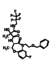 C[C@H]1Oc2ccc(F)cc2N(CCOCc2ccccc2)C(=O)[C@H]1NC(=O)C(C)(O)C(=O)NCC(F)(F)C(F)(F)F